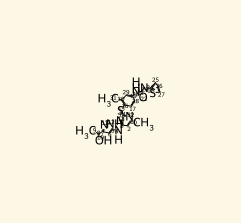 Cc1cc(Nc2cc(C(C)O)n[nH]2)nc(Sc2ccc(NC(=O)Nc3cccs3)cc2C)n1